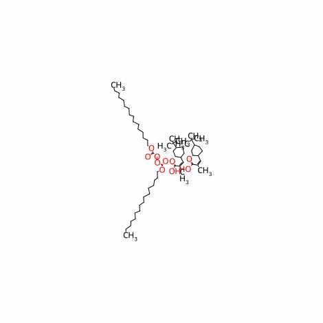 CC(=CC1CCC(C(C)(C)C)CC1)C(=O)O.CC(=CC1CCC(C(C)(C)C)CC1)C(=O)O.CCCCCCCCCCCCCCCCOC(=O)OOC(=O)OCCCCCCCCCCCCCCCC